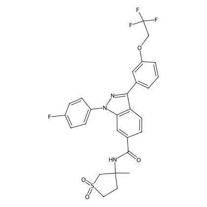 CC1(NC(=O)c2ccc3c(-c4cccc(OCC(F)(F)F)c4)nn(-c4ccc(F)cc4)c3c2)CCS(=O)(=O)C1